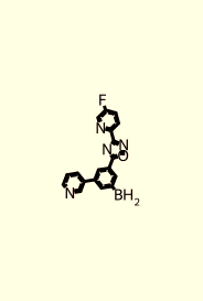 Bc1cc(-c2cccnc2)cc(-c2nc(-c3ccc(F)cn3)no2)c1